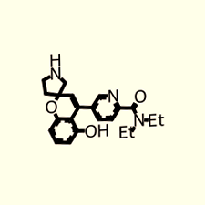 CCN(CC)C(=O)c1ccc(C2=CC3(CCNC3)Oc3cccc(O)c32)cn1